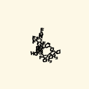 Cc1cc2cc(c1F)[C@H](CC(=O)O)NC(=O)[C@@H](n1cc(CCN3CC(F)C3)c(C(F)(F)F)cc1=O)c1cc(ccc1F)COc1cc(Cl)cc(C)c1-2